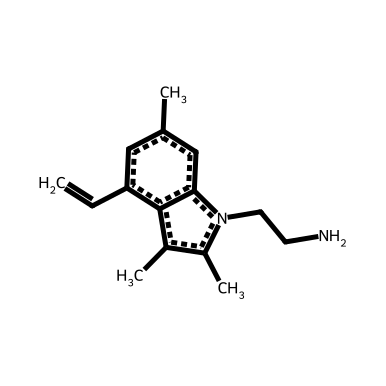 C=Cc1cc(C)cc2c1c(C)c(C)n2CCN